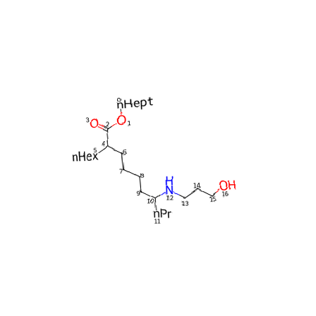 CCCCCCCOC(=O)C(CCCCCC)CCCCC(CCC)NCCCO